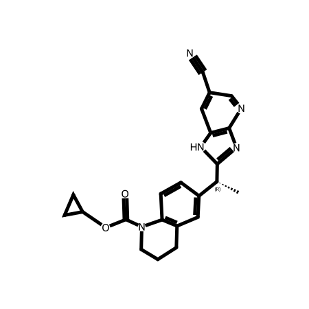 C[C@H](c1ccc2c(c1)CCCN2C(=O)OC1CC1)c1nc2ncc(C#N)cc2[nH]1